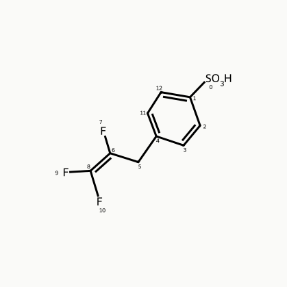 O=S(=O)(O)c1ccc(CC(F)=C(F)F)cc1